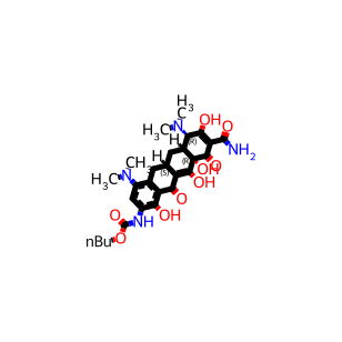 CCCCOC(=O)Nc1cc(N(C)C)c2c(c1O)C(=O)C1=C(O)[C@@]3(O)C(=O)C(C(N)=O)=C(O)[C@H](N(C)C)[C@H]3C[C@H]1C2